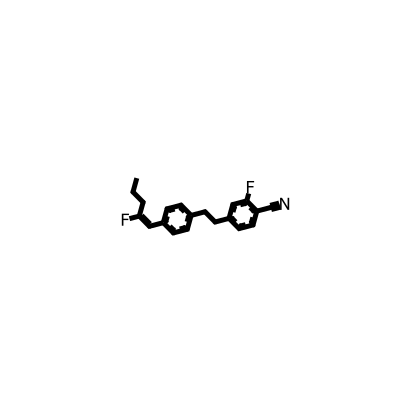 CCC/C(F)=C\c1ccc(CCc2ccc(C#N)c(F)c2)cc1